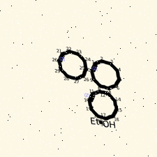 C1=C\CCCCCCCC/1.C1=C\CCCCCCCC/1.C1=C\CCCCCCCC/1.CCO